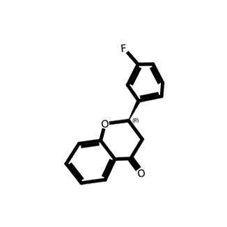 O=C1C[C@H](c2cccc(F)c2)Oc2ccccc21